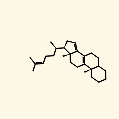 CC(C)=CCC[C@@H](C)[C@H]1CC=C2C3=C(CC[C@@]21C)[C@@]1(C)CCCCC1CC3